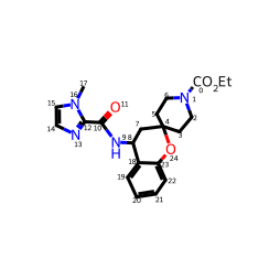 CCOC(=O)N1CCC2(CC1)CC(NC(=O)c1nccn1C)c1ccccc1O2